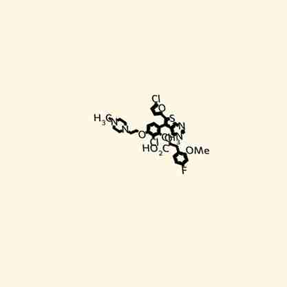 COc1cc(F)ccc1C[C@@H](Oc1ncnc2sc(-c3ccc(Cl)o3)c(-c3ccc(OCCN4CCN(C)CC4)c(Cl)c3C)c12)C(=O)O